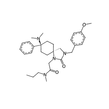 CCCN(C)C(=O)CN1C(=O)N(Cc2ccc(OC)cc2)C[C@]12CC[C@](c1ccccc1)(N(C)C)CC2